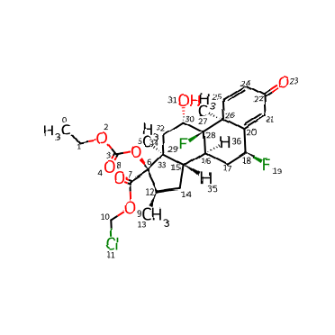 CCOC(=O)O[C@]1(C(=O)OCCl)[C@H](C)C[C@H]2[C@@H]3C[C@H](F)C4=CC(=O)C=C[C@]4(C)[C@@]3(F)[C@@H](O)C[C@@]21C